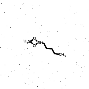 CCCCC[SiH]1O[SiH2]O1